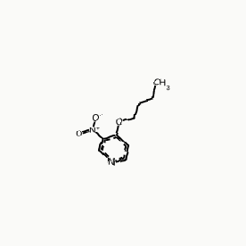 CCCCOc1ccncc1[N+](=O)[O-]